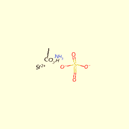 CC(=O)O.N.O=S(=O)([O-])[O-].[Sr+2]